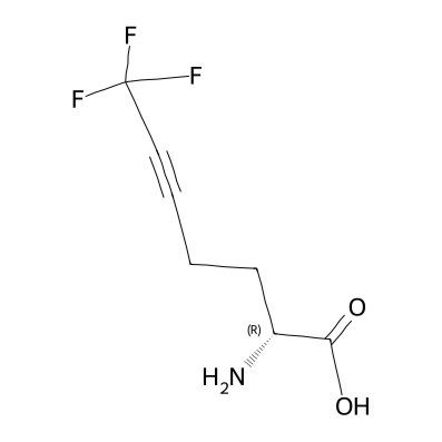 N[C@H](CCC#CC(F)(F)F)C(=O)O